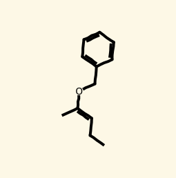 CCC=C(C)OCc1ccccc1